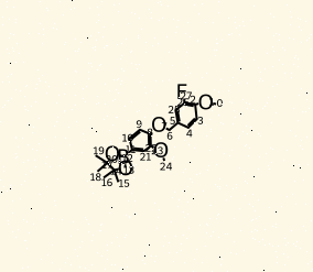 COc1ccc(COc2ccc(B3OC(C)(C)C(C)(C)O3)cc2OC)cc1F